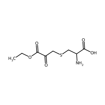 CCOC(=O)C(=O)CSCC(N)C(=O)O